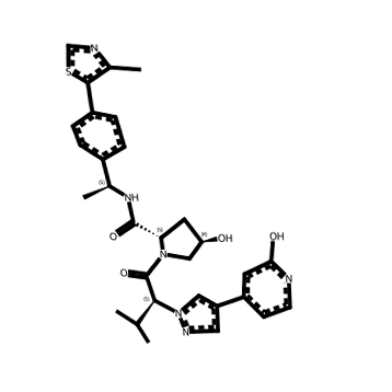 Cc1ncsc1-c1ccc([C@H](C)NC(=O)[C@@H]2C[C@@H](O)CN2C(=O)[C@H](C(C)C)n2cc(-c3ccnc(O)c3)cn2)cc1